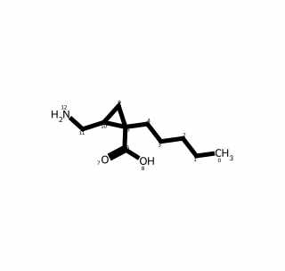 CCCCCC1(C(=O)O)CC1CN